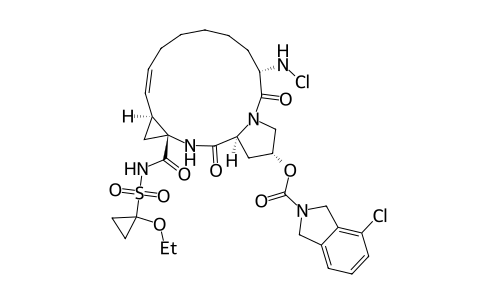 CCOC1(S(=O)(=O)NC(=O)[C@@]23C[C@H]2/C=C\CCCCC[C@H](NCl)C(=O)N2C[C@H](OC(=O)N4Cc5cccc(Cl)c5C4)C[C@H]2C(=O)N3)CC1